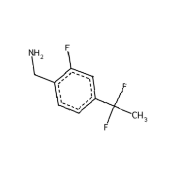 CC(F)(F)c1ccc(CN)c(F)c1